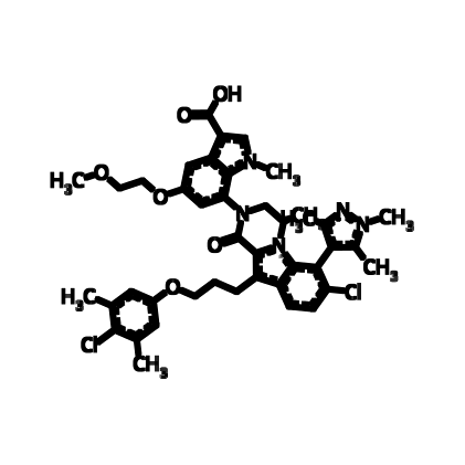 COCCOc1cc(N2CC(C)n3c(c(CCCOc4cc(C)c(Cl)c(C)c4)c4ccc(Cl)c(-c5c(C)nn(C)c5C)c43)C2=O)c2c(c1)c(C(=O)O)cn2C